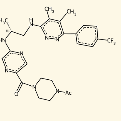 CC(=O)N1CCN(C(=O)c2cnc(N[C@H](C)CNc3nnc(-c4ccc(C(F)(F)F)cc4)c(C)c3C)cn2)CC1